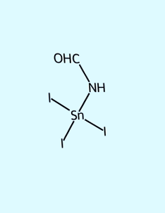 O=C[NH][Sn]([I])([I])[I]